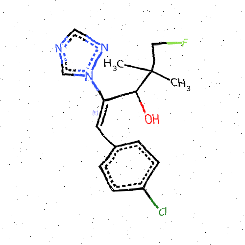 CC(C)(CF)C(O)/C(=C\c1ccc(Cl)cc1)n1cncn1